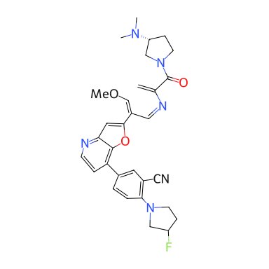 C=C(/N=C\C(=C\OC)c1cc2nccc(-c3ccc(N4CCC(F)C4)c(C#N)c3)c2o1)C(=O)N1CC[C@@H](N(C)C)C1